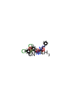 Cc1oc(/C=C/c2ccccc2)nc1-c1nnc(Cc2ccc(Cl)c(Oc3cc(Cl)cc(C#N)c3)c2F)o1